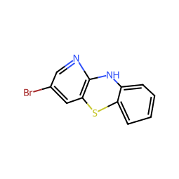 Brc1cnc2c(c1)Sc1ccccc1N2